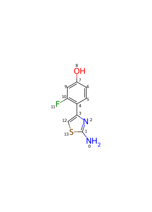 Nc1nc(-c2ccc(O)cc2F)cs1